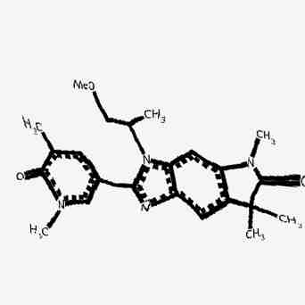 COCC(C)n1c(-c2cc(C)c(=O)n(C)c2)nc2cc3c(cc21)N(C)C(=O)C3(C)C